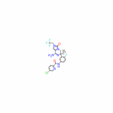 C[C@@]1(c2cc(NC(=O)c3ccc(Cl)cn3)ccc2F)Cn2c(cn(CC(F)(F)F)c2=O)C(N)=N1